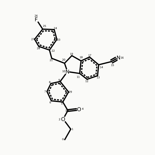 CCOC(=O)c1cccc(N2c3ccc(C#N)cc3CC2Cc2ccc(F)cc2)c1